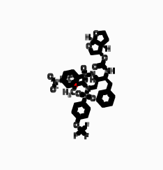 CC(C)CN(C[C@@H](NS(=O)(=O)c1ccc([N+](=O)[O-])cc1)[C@H](Cc1ccccc1)NC(=O)O[C@H]1CO[C@H]2OCC[C@H]21)S(=O)(=O)c1ccc(OC(F)(F)F)cc1